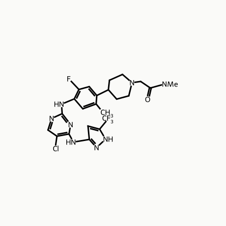 CNC(=O)CN1CCC(c2cc(F)c(Nc3ncc(Cl)c(Nc4cc(C(F)(F)F)[nH]n4)n3)cc2C)CC1